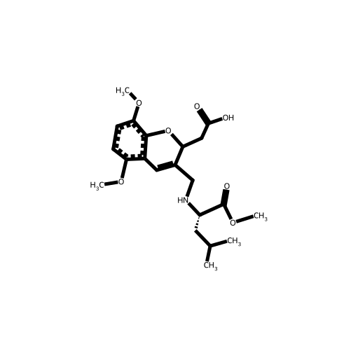 COC(=O)[C@H](CC(C)C)NCC1=Cc2c(OC)ccc(OC)c2OC1CC(=O)O